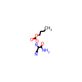 CCCCOC(=O)ON=C(C#N)C(N)=O